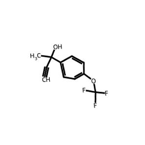 C#CC(C)(O)c1ccc(OC(F)(F)F)cc1